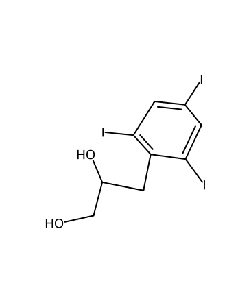 OCC(O)Cc1c(I)cc(I)cc1I